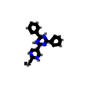 Cc1ncc(-c2nc(-c3ccccc3)nc(-c3ccccc3)n2)cn1